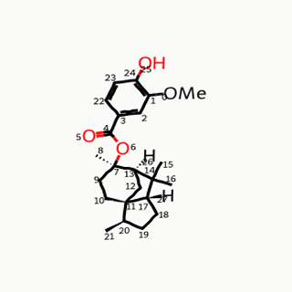 COc1cc(C(=O)O[C@]2(C)CC[C@@]34C[C@@H]2C(C)(C)[C@@H]3CC[C@H]4C)ccc1O